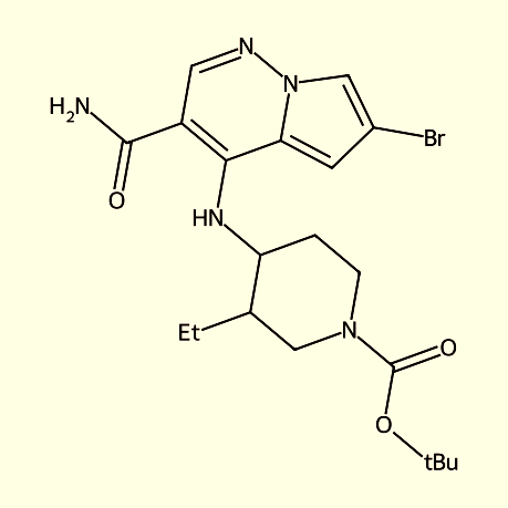 CCC1CN(C(=O)OC(C)(C)C)CCC1Nc1c(C(N)=O)cnn2cc(Br)cc12